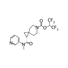 CN(C(=O)[C@@H]1CC12CCN(C(=O)OC(C(F)(F)F)C(F)(F)F)CC2)c1cccnc1